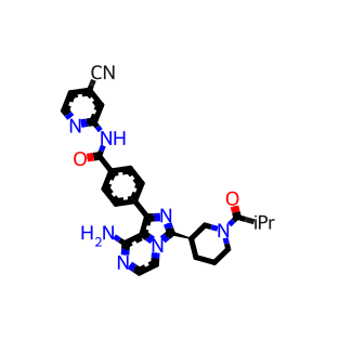 CC(C)C(=O)N1CCC[C@@H](c2nc(-c3ccc(C(=O)Nc4cc(C#N)ccn4)cc3)c3c(N)nccn23)C1